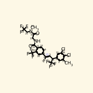 Cc1cc(C(/C=C(\F)c2ccc(C(=O)NCC(=O)N(C)CC(F)(F)F)c(C(F)(F)F)c2)C(F)(F)F)cc(Cl)c1Cl